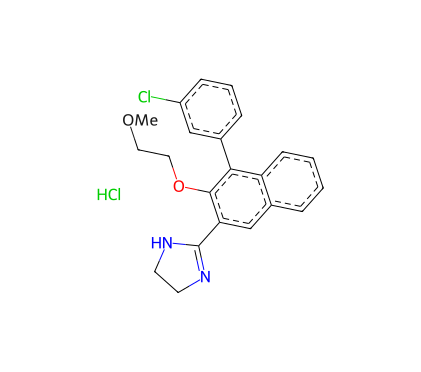 COCCOc1c(C2=NCCN2)cc2ccccc2c1-c1cccc(Cl)c1.Cl